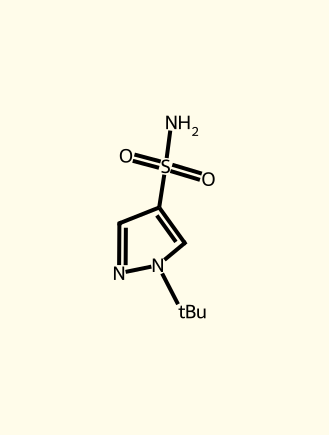 CC(C)(C)n1cc(S(N)(=O)=O)cn1